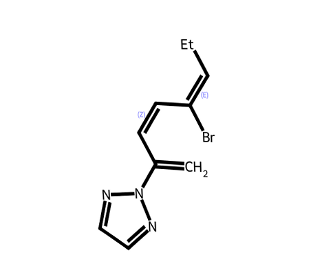 C=C(/C=C\C(Br)=C/CC)n1nccn1